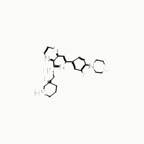 Fc1cc(-c2cc3nccnc3c(NC[C@]3(F)CCCNC3)n2)ccc1N1CCOCC1